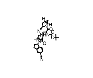 CC(C)(C)OC(=O)NC(CN1C[C@@H]2CC1C(=O)N2C1CCc2cc(C#N)ccc21)C(=O)N1C(C#N)C[C@@H]2C[C@@H]21